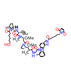 CC[C@H](C)[C@@H]([C@@H](CC(=O)N1CCC[C@H]1[C@H](OC)[C@@H](C)C(=O)N[C@@H](Cc1ccccc1)C(=O)Nc1ccc(CNC(=O)CCCCCN2C(=O)C=CC2=O)cc1)OC)N(C)C(=O)[C@@H](NC(=O)[C@@H]1[C@H]2CC[C@H](C2)N1C(=O)CCCCCO)C(C)C